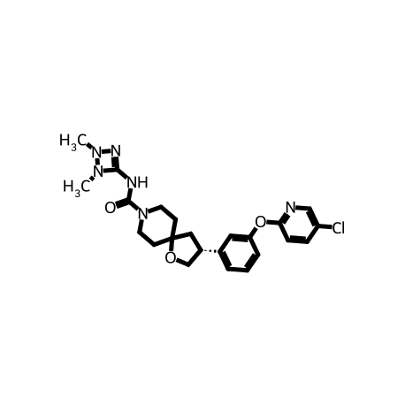 Cn1nc(NC(=O)N2CCC3(CC2)C[C@H](c2cccc(Oc4ccc(Cl)cn4)c2)CO3)n1C